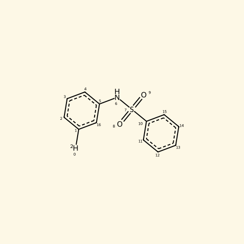 [2H]c1cccc(NS(=O)(=O)c2ccccc2)c1